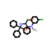 CN(C(=O)C(CO)NC(c1ccccc1)(c1ccccc1)c1ccccc1)c1cc(Br)ccc1F